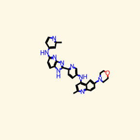 Cc1cc(Nc2ccc3[nH]c(-c4ccc(Nc5cc(C)nc6ccc(N7CCOCC7)cc56)cn4)nc3n2)ccn1